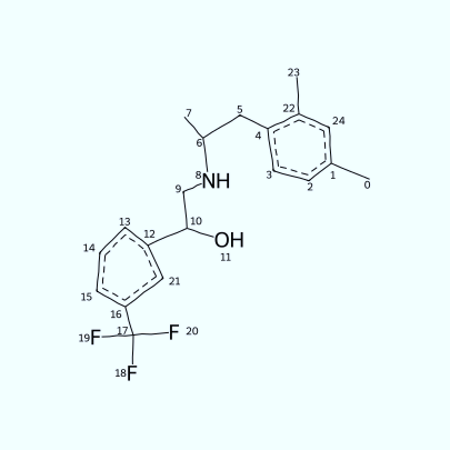 Cc1ccc(CC(C)NCC(O)c2cccc(C(F)(F)F)c2)c(C)c1